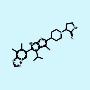 Cc1c(-c2[nH]c3sc(C4CCN(C5CCNC5=O)CC4)c(C)c3c2C(C)C)cn2ncnc2c1C